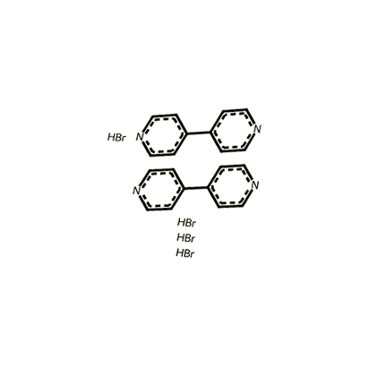 Br.Br.Br.Br.c1cc(-c2ccncc2)ccn1.c1cc(-c2ccncc2)ccn1